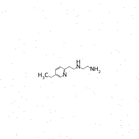 CCc1ccc(CCNCCN)nc1